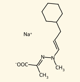 CC(=NN(C)C=CCC1CCCCC1)C(=O)[O-].[Na+]